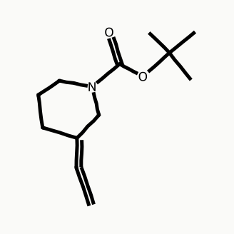 C=C=C1CCCN(C(=O)OC(C)(C)C)C1